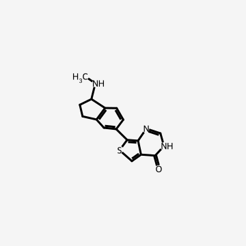 CNC1CCc2cc(-c3scc4c(=O)[nH]cnc34)ccc21